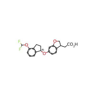 O=C(O)CC1COc2cc(O[C@@H]3CCc4c(OC(F)F)cccc43)ccc21